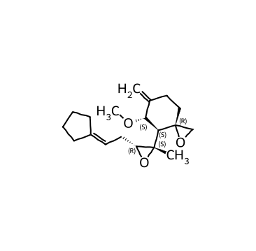 C=C1CC[C@]2(CO2)[C@@H]([C@]2(C)O[C@@H]2CC=C2CCCC2)[C@@H]1OC